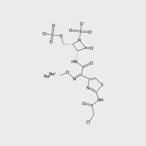 CON=C(C(=O)N[C@H]1C(=O)N(S(=O)(=O)[O-])[C@H]1COS(=O)(=O)[O-])c1csc(NC(=O)CCl)n1.[Na+].[Na+]